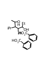 CCC(O)C(C(C)C)C(C(C)C)C(C)O.O=C(O)c1ccccc1.O=C(O)c1ccccc1